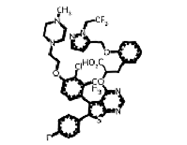 Cc1c(-c2c(-c3ccc(F)cc3)sc3ncnc(O[C@H](Cc4ccccc4OCc4ccnn4CC(F)(F)F)C(=O)O)c23)ccc(OCCN2CCN(C)CC2)c1Cl